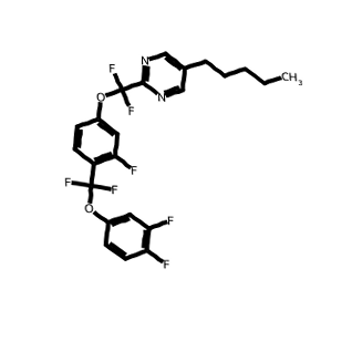 CCCCCc1cnc(C(F)(F)Oc2ccc(C(F)(F)Oc3ccc(F)c(F)c3)c(F)c2)nc1